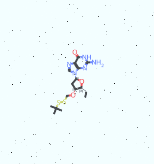 CC[C@H]1O[C@@H](n2cnc3c(=O)[nH]c(N)nc32)C[C@H]1OCSSC(C)(C)C